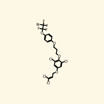 FC(F)(Br)C(F)(F)Oc1ccc(OCCCOc2c(Cl)cc(OCC=C(Cl)Cl)cc2Cl)cc1